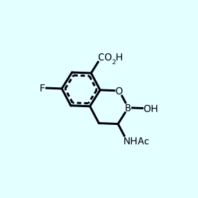 CC(=O)NC1Cc2cc(F)cc(C(=O)O)c2OB1O